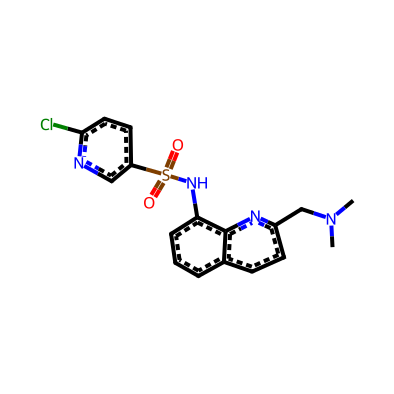 CN(C)Cc1ccc2cccc(NS(=O)(=O)c3ccc(Cl)nc3)c2n1